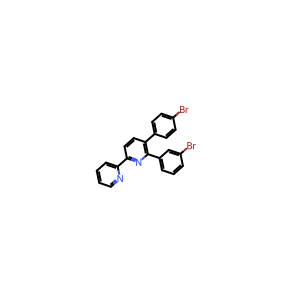 Brc1ccc(-c2ccc(-c3ccccn3)nc2-c2cccc(Br)c2)cc1